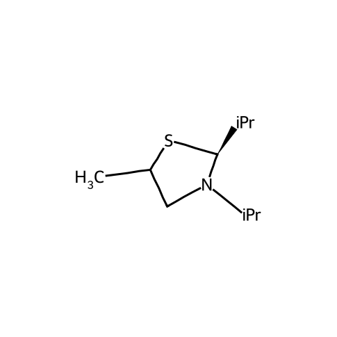 CC1CN(C(C)C)[C@H](C(C)C)S1